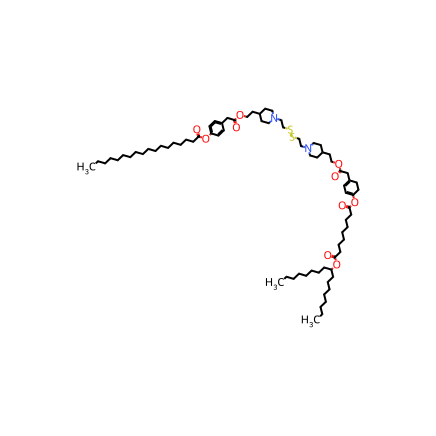 CCCCCCCCCCCCCCCCCC(=O)OC1=C=C=C(CC(=O)OCCC2CCN(CCSSCCN3CCC(CCOC(=O)CC4=CC=C(OC(=O)CCCCCCCC(=O)OC(CCCCCCCC)CCCCCCCC)CC4)CC3)CC2)C=C1